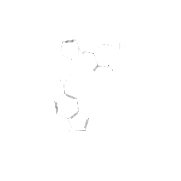 Cc1cc2cc(OC[C@@H]3SC=CN3C(CO)C(N)=O)ccc2o1